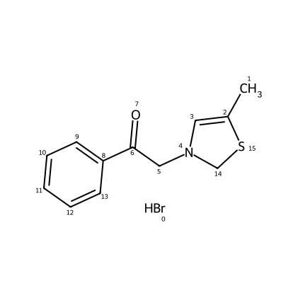 Br.CC1=CN(CC(=O)c2ccccc2)CS1